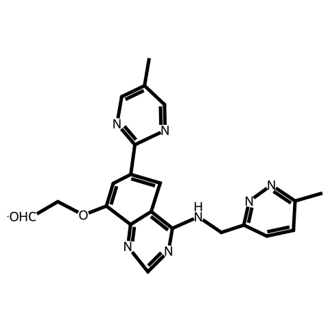 Cc1cnc(-c2cc(OC[C]=O)c3ncnc(NCc4ccc(C)nn4)c3c2)nc1